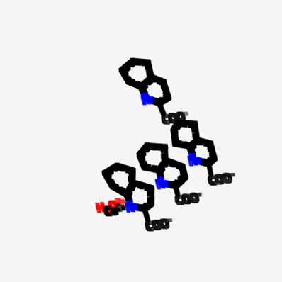 O=C([O-])c1ccc2ccccc2n1.O=C([O-])c1ccc2ccccc2n1.O=C([O-])c1ccc2ccccc2n1.O=C([O-])c1ccc2ccccc2n1.[Cu+2].[OH4+2]